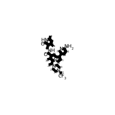 Cc1cc(C)c(CNC(=O)c2cc3c(-c4ccc(N)nc4)ccn3c(C(C)N3CCN(CC(F)(F)F)CC3)c2C)c(=O)[nH]1